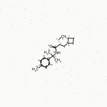 CC[C@H](CN1CCC1)C(=O)NC(C)(C)c1ccc(C)cc1